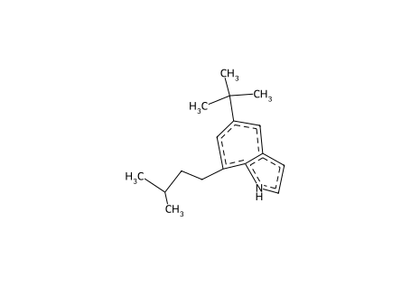 CC(C)CCc1cc(C(C)(C)C)cc2cc[nH]c12